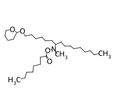 CCCCCCCCCC(CCCCCCOC1CCCCO1)N(C)OC(=O)CCCCCCC